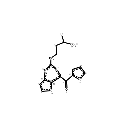 CCC(CCNc1nc(C(=O)c2cccs2)c2sccc2n1)C(=O)O